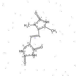 Cc1[nH]c(=O)n(C)c1/C=C/c1c[nH]c(=O)[nH]c1=O